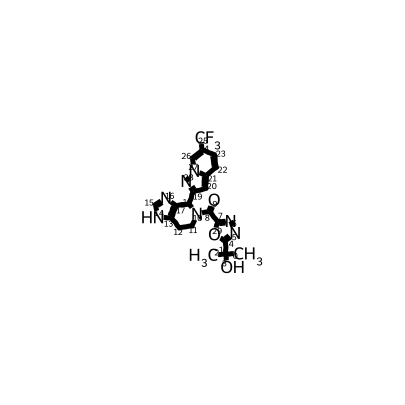 CC(C)(O)c1nnc(C(=O)N2CCc3[nH]cnc3C2c2cc3ccc(C(F)(F)F)cn3n2)o1